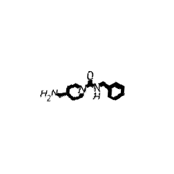 NCC1CCN(C(=O)NCc2ccccc2)CC1